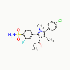 CCC(=O)c1c(C)c(-c2ccc(Cl)cc2)n(C)c1-c1ccc(S(N)(=O)=O)c(F)c1